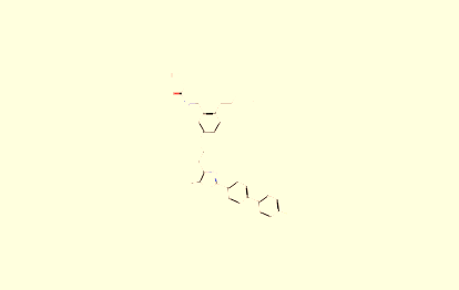 Cc1oc(-c2ccc(-c3ccc(F)cc3)cc2)nc1CCOc1ccc(CCC(=O)O)c(CNC(=O)OC(C)C)c1